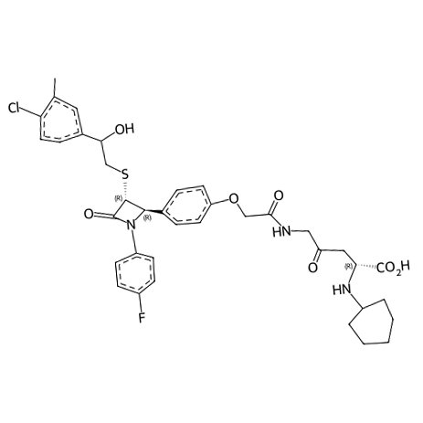 Cc1cc(C(O)CS[C@H]2C(=O)N(c3ccc(F)cc3)[C@@H]2c2ccc(OCC(=O)NCC(=O)C[C@@H](NC3CCCCC3)C(=O)O)cc2)ccc1Cl